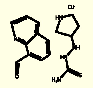 NC(=S)NNC1CCNC1.O=Cc1cccc2cccnc12.[Cu]